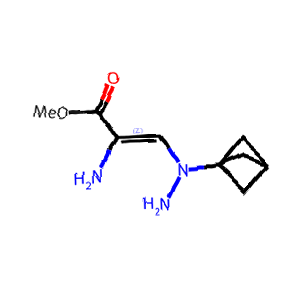 COC(=O)/C(N)=C/N(N)C12CC(C1)C2